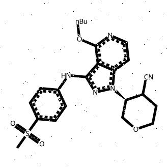 CCCCOc1nccc2c1c(Nc1ccc(S(C)(=O)=O)cc1)nn2[C@@H]1COCCC1C#N